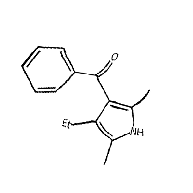 CCc1c(C)[nH]c(C)c1C(=O)c1ccccc1